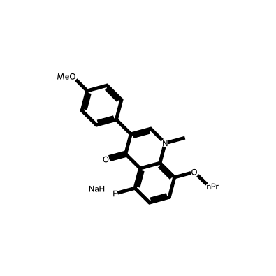 CCCOc1ccc(F)c2c(=O)c(-c3ccc(OC)cc3)cn(C)c12.[NaH]